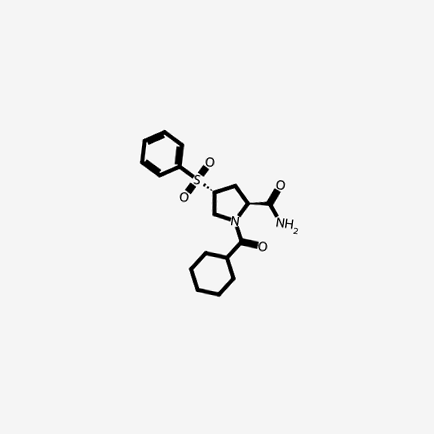 NC(=O)[C@@H]1C[C@@H](S(=O)(=O)c2ccccc2)CN1C(=O)C1CCCCC1